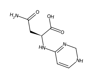 NC(=O)C[C@H](NC1=NCNC=C1)C(=O)O